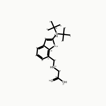 CC(C)(C)[SiH](c1cc2cccc(CNCC(=O)O)c2s1)C(C)(C)C